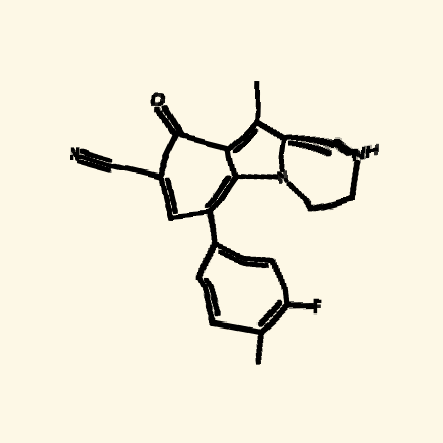 Cc1ccc(C2=c3c(c(C)c4n3CCNC=4)C(=O)C(C#N)=C2)cc1F